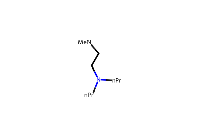 CCCN(CCC)CCNC